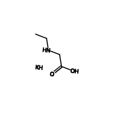 CCNCC(=O)O.[KH]